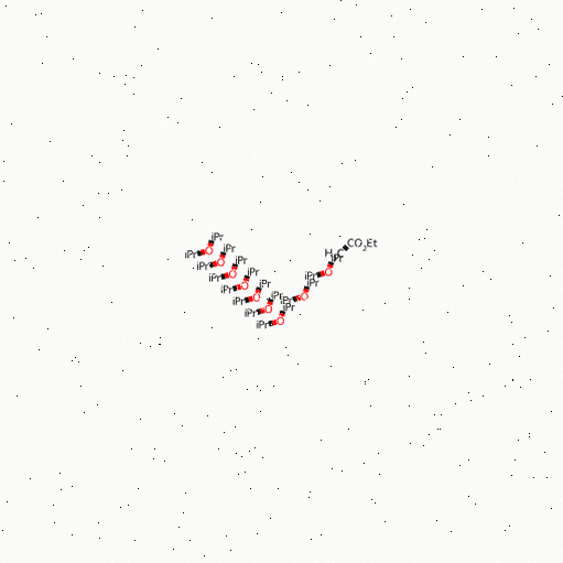 CC(C)OC(C)C.CC(C)OC(C)C.CC(C)OC(C)C.CC(C)OC(C)C.CC(C)OC(C)C.CC(C)OC(C)C.CC(C)OC(C)C.CC(C)OC(C)C.CC(C)OC(C)C.CCOC(C)=O